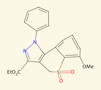 CCOC(=O)c1nn(-c2ccccc2)c2c1CS(=O)(=O)c1c(OC)cccc1-2